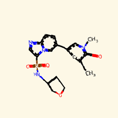 Cc1cc(-c2ccc3ncc(S(=O)(=O)NC4CCOC4)n3c2)cn(C)c1=O